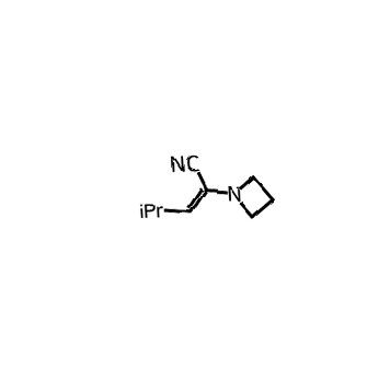 CC(C)C=C(C#N)N1CCC1